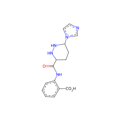 O=C(O)c1ccccc1NC(=O)C1CCC(n2ccnc2)NN1